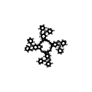 c1cncc(Oc2cc3c(cc2Oc2cccnc2)-c2nc-3nc3[nH]c(nc4nc(nc5[nH]c(n2)c2cc(Oc6cccnc6)c(Oc6cccnc6)cc52)-c2cc(Oc5cccnc5)c(Oc5cccnc5)cc2-4)c2cc(Oc4cccnc4)c(Oc4cccnc4)cc32)c1